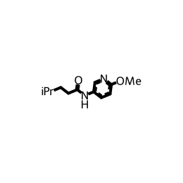 COc1ccc(NC(=O)CCC(C)C)cn1